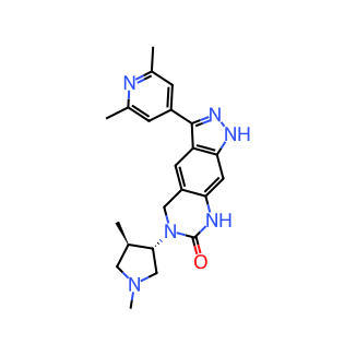 Cc1cc(-c2n[nH]c3cc4c(cc23)CN([C@@H]2CN(C)C[C@H]2C)C(=O)N4)cc(C)n1